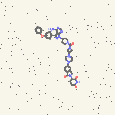 Nc1ncnc2c1c(-c1ccc(Oc3ccccc3)cc1)nn2C1CCN(C(=O)N2CC(N3CCN(c4ccc5c(c4)CN([C@@H]4CCC(=O)NC4=O)C5=O)CC3)C2)CC1